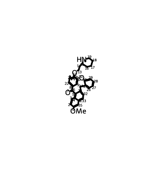 COc1ccc2c(C(=O)c3ccc(OCCC4CCCCN4)cc3)c(Cc3ccccc3OC)ccc2c1